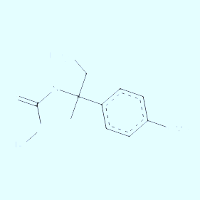 COc1ccc(C(C)(CC(=O)O)NC(=O)OC(C)(C)C)cc1